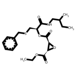 CCOC(=O)[C@H]1O[C@@H]1C(=O)O[C@@H](CSCc1ccccc1)C(=O)NCC(C)CC